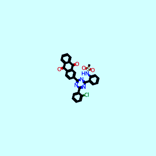 CS(=O)(=O)Nc1ccccc1-c1nc(-c2ccc3c(c2)C(=O)c2ccccc2C3=O)nc(-c2ccccc2Cl)n1